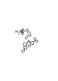 COC(=O)c1ccc2c(c1)N(C[C@@H]1CC[C@H]1[C@@H]1C[C@@H](O[C@@H](C)CS(N)(=O)=O)CCO1)C[C@@]1(CCCc3cc(Cl)ccc31)CO2